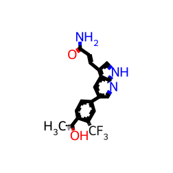 C[C@@H](O)c1ccc(-c2cnc3[nH]cc(C=CC(N)=O)c3c2)cc1C(F)(F)F